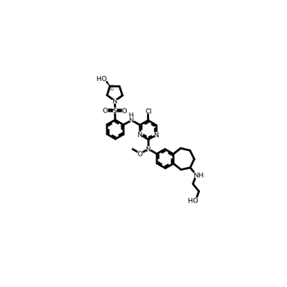 CON(c1ccc2c(c1)CCCC(NCCO)C2)c1ncc(Cl)c(Nc2ccccc2S(=O)(=O)N2CC[C@H](O)C2)n1